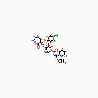 CC[C@H](NC(=O)c1ccc(CN([C@@H]2CCCCNC2=O)S(=O)(=O)c2ccc(Cl)cc2)cc1)c1ccccc1